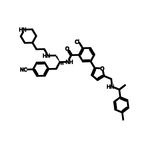 Cc1ccc(C(C)NCc2ccc(-c3ccc(Cl)c(C(=O)N[C@@H](CNCCC4CCNCC4)Cc4ccc(C#N)cc4)c3)o2)cc1